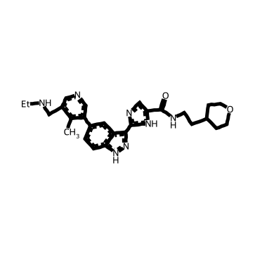 CCNCc1cncc(-c2ccc3[nH]nc(-c4ncc(C(=O)NCCC5CCOCC5)[nH]4)c3c2)c1C